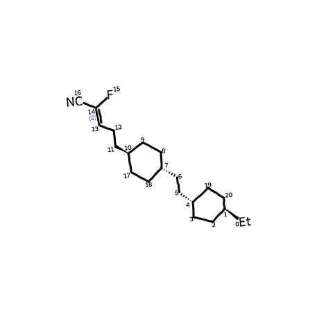 CC[C@H]1CC[C@H](CC[C@H]2CC[C@H](CC/C=C(\F)C#N)CC2)CC1